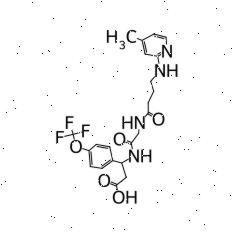 Cc1ccnc(NCCCC(=O)NCC(=O)NC(CC(=O)O)c2ccc(OC(F)(F)F)cc2)c1